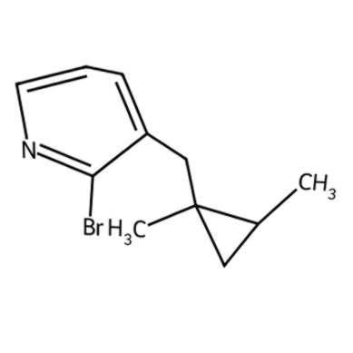 CC1CC1(C)Cc1cccnc1Br